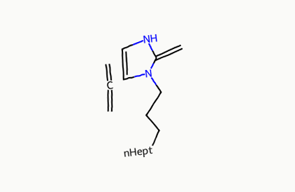 C=C1NC=CN1CCCCCCCCCC.C=C=C